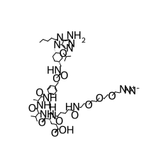 CCCCc1nc2c(N)nnc(OC(C)C)c2n1C[C@H]1CC[C@H](CNC(=O)OCc2ccc(NC(=O)[C@H](C)NC(=O)[C@@H](NC(=O)[C@H](CCC(=O)O)NC(=O)CCCC(=O)NCCOCCOCCOCCN=[N+]=[N-])C(C)C)cc2)CC1